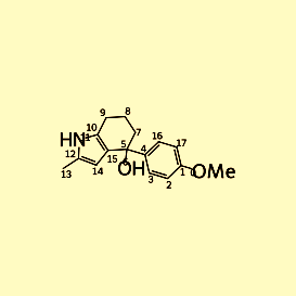 COc1ccc(C2(O)CCCc3[nH]c(C)cc32)cc1